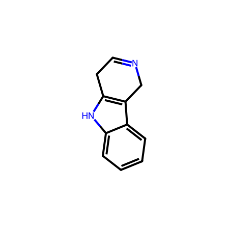 C1=NCc2c([nH]c3ccccc23)C1